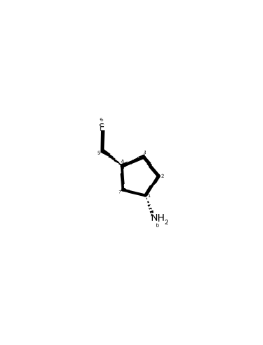 N[C@H]1CC[C@H](CF)C1